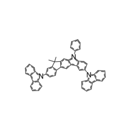 CC1(C)c2cc(-n3c4ccccc4c4ccccc43)ccc2-c2cc3c4cc(-n5c6ccccc6c6ccccc65)ccc4n(-c4ccccc4)c3cc21